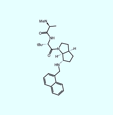 CN[C@@H](C)C(=O)N[C@H](C(=O)N1CC[C@H]2CC[C@H](NCc3cccc4ccccc34)[C@H]21)C(C)(C)C